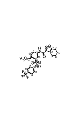 COc1ncc(NC(=O)c2noc3c2CCCC3)cc1S(=O)(=O)Nc1ccc(C(F)(F)F)cc1